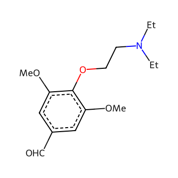 CCN(CC)CCOc1c(OC)cc(C=O)cc1OC